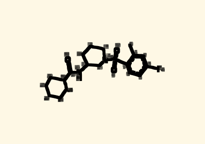 Cc1cc(F)ccc1S(=O)(=O)N1CCCC(NC(=O)C2CCCCC2)C1